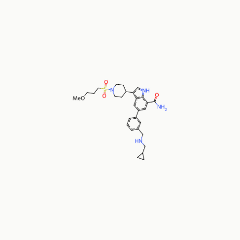 COCCCS(=O)(=O)N1CCC(c2c[nH]c3c(C(N)=O)cc(-c4cccc(CNCC5CC5)c4)cc23)CC1